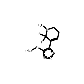 CCCCCCOc1nsnc1C1=CCCN(C(F)(F)F)C1(F)F